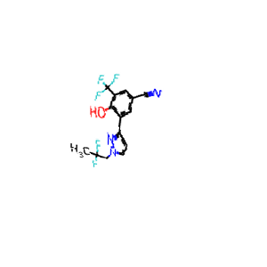 CC(F)(F)Cn1ccc(-c2cc(C#N)cc(C(F)(F)F)c2O)n1